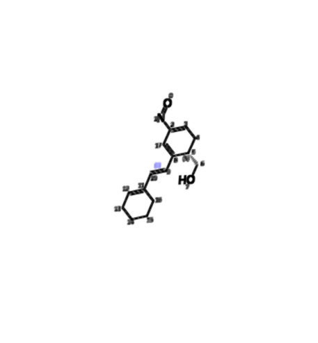 O=NC1=CC[C@H](CO)C(/C=C/C2=CCCCC2)=C1